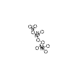 c1ccc(-c2cc(-c3cccc(-c4cccc5c4cc(-c4ccccc4)n4nc(-c6ccccc6)c(-c6ccccc6)c54)c3)nc(-c3cccc(-n4c5ccccc5c5ccccc54)c3)n2)cc1